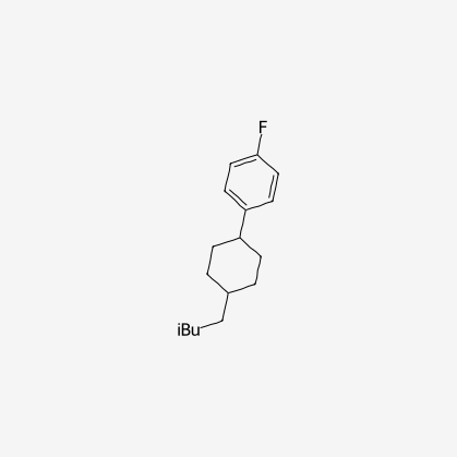 CCC(C)CC1CCC(c2ccc(F)cc2)CC1